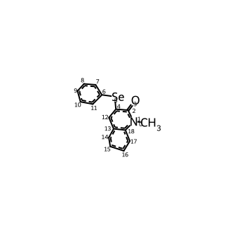 Cn1c(=O)c([Se]c2ccccc2)cc2ccccc21